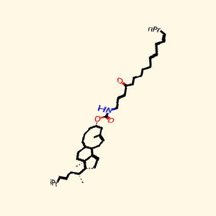 CCC/C=C\CCCCCCCCC(=O)CCCNC(=O)O[C@H]1CCCC2CC[C@@]3(C)C(CC[C@@H]3[C@H](C)CCCC(C)C)C2C/C=C(\C)C1